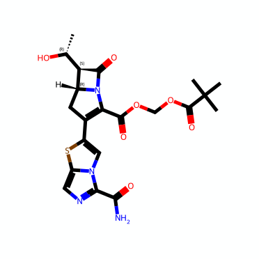 C[C@@H](O)[C@H]1C(=O)N2C(C(=O)OCOC(=O)C(C)(C)C)=C(c3cn4c(C(N)=O)ncc4s3)C[C@H]12